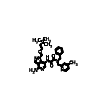 Cc1ccnc(CN(Cc2ccccc2)C(=O)C(=O)Nc2cnc(N)c3cnn(COCC[Si](C)(C)C)c23)c1